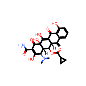 C=C1c2cccc(O)c2C(=O)C2=C(O)[C@@]3(O)C(=O)C(C(N)=O)=C(O)[C@H](N(C)C)[C@H]3[C@H](OC(=O)C3CC3)[C@@H]12